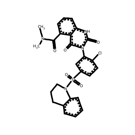 CN(C)C(=O)c1cccc2[nH]c(=O)n(-c3cc(S(=O)(=O)N4CCCc5ccccc54)ccc3Cl)c(=O)c12